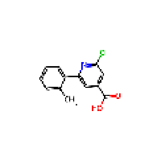 Cc1ccccc1-c1cc(C(=O)O)cc(Cl)n1